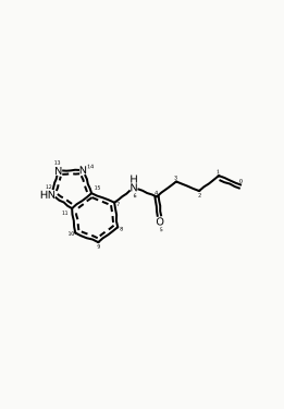 C=CCCC(=O)Nc1cccc2[nH]nnc12